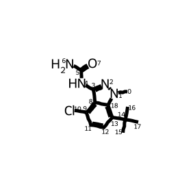 Cn1nc(NC(N)=O)c2c(Cl)ccc(C(C)(C)C)c21